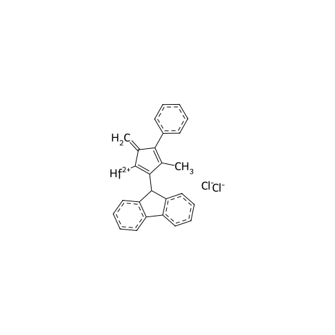 C=C1[C]([Hf+2])=C(C2c3ccccc3-c3ccccc32)C(C)=C1c1ccccc1.[Cl-].[Cl-]